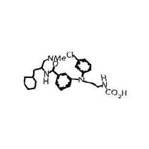 CNCC(CC1CCCCC1)NC(=O)c1cccc(N(CCCNC(=O)O)c2cccc(Cl)c2)c1